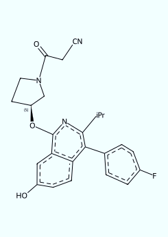 CC(C)c1nc(O[C@H]2CCN(C(=O)CC#N)C2)c2cc(O)ccc2c1-c1ccc(F)cc1